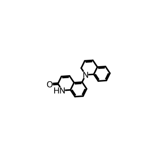 O=c1ccc2c(N3CC=Cc4ccccc43)cccc2[nH]1